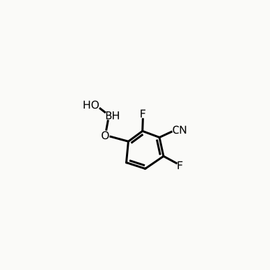 N#Cc1c(F)ccc(OBO)c1F